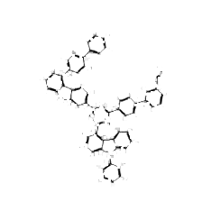 N#Cc1cccc(-c2ccc(-c3nc(-c4ccc5c(c4)oc4cccc(-c6ccc(-c7ccccc7)cc6)c45)nc(-c4cccc5c4c4ccccc4n5-c4ccccc4)n3)cc2)c1